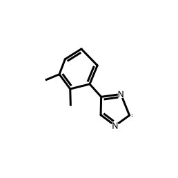 Cc1cccc(C2=N[C]N=C2)c1C